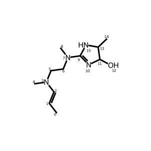 C/C=C/N(C)CCN(C)C1=NC(O)C(C)N1